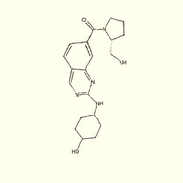 O=C(c1ccc2cnc(NC3CCC(O)CC3)nc2c1)N1CCC[C@@H]1CO